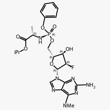 CNc1nc(N)nc2c1ncn2[C@@H]1O[C@H](CO[P@](=O)(N[C@@H](C)C(=O)OC(C)C)Oc2ccccc2)[C@@H](O)[C@H]1F